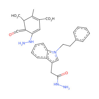 CC1=C(C(=O)O)C=C(NN)C(=C=O)C1C(=O)O.NNC(=O)Cc1cn(CCc2ccccc2)c2ccccc12